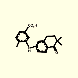 Cc1ccc(C(=O)O)cc1Nc1ccc2c(c1)CCC(C)(C)C2=O